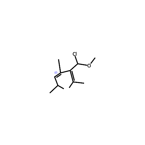 COC(Cl)C(=C(C)C)/C(C)=C\C(C)C